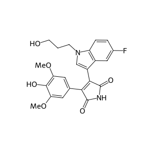 COc1cc(C2=C(c3cn(CCCO)c4ccc(F)cc34)C(=O)NC2=O)cc(OC)c1O